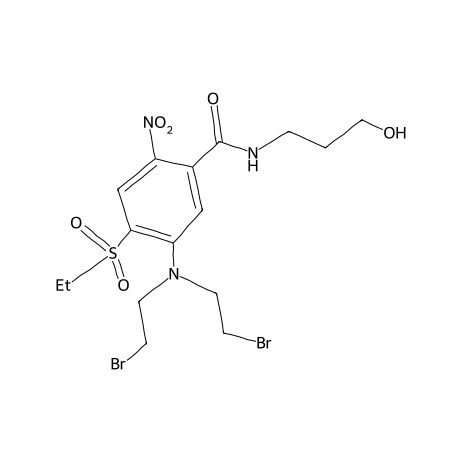 CCS(=O)(=O)c1cc([N+](=O)[O-])c(C(=O)NCCCO)cc1N(CCBr)CCBr